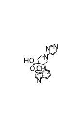 CC1(C(=O)O)CCN(c2ccncn2)CC1c1cccc2ncsc12